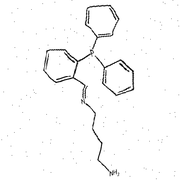 NCCCCN=Cc1ccccc1P(c1ccccc1)c1ccccc1